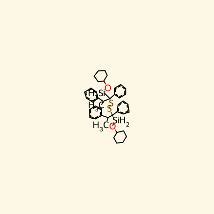 CC(c1ccccc1)C([SiH2]OC1CCCCC1)(SSC([SiH2]OC1CCCCC1)(c1ccccc1)C(C)c1ccccc1)c1ccccc1